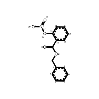 O=C(OCc1ccccc1)c1ccccc1O[N+](=O)[O-]